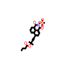 CCCC(=O)OC(C)(C)C#Cc1ccc2c3c(cccc13)C(=O)N(OS(C)(=O)=O)C2=O